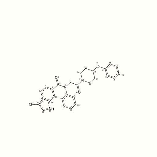 O=C(CN(C(=O)c1ccc2c(Cl)c[nH]c2c1)c1ccccc1)N1CCC(Oc2ccncc2)CC1